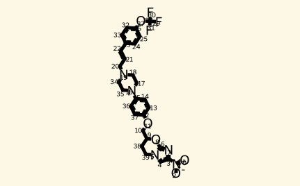 O=[N+]([O-])c1cn2c(n1)OC(COc1ccc(N3CCN(C/C=C/c4ccc(OC(F)(F)F)cc4)CC3)cc1)CC2